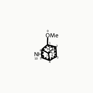 COc1ccc2cc1C2(Cl)Cl.N